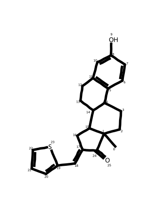 CC12CCC3c4ccc(O)cc4CCC3C1CC(=Cc1cccs1)C2=O